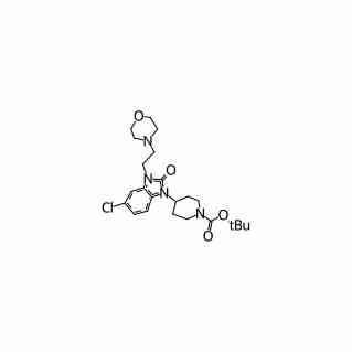 CC(C)(C)OC(=O)N1CCC(n2c(=O)n(CCN3CCOCC3)c3cc(Cl)ccc32)CC1